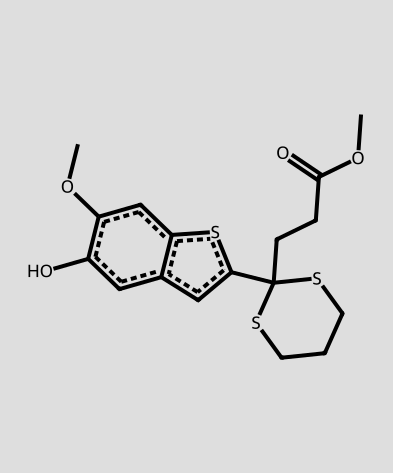 COC(=O)CCC1(c2cc3cc(O)c(OC)cc3s2)SCCCS1